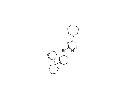 c1ccc(C2(N3CCCC(Nc4nccc(N5CCCCCC5)n4)C3)CCCCC2)cc1